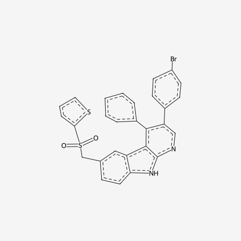 O=S(=O)(Cc1ccc2[nH]c3ncc(-c4ccc(Br)cc4)c(-c4ccccc4)c3c2c1)c1cccs1